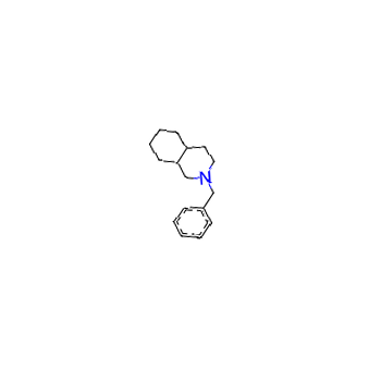 c1ccc(CN2CCC3CCCCC3C2)cc1